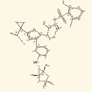 O=S1(=O)C[C@@H]2[C@H](C1)[C@@H]2Nc1nccc(-c2sc(C3(C(F)F)CC3)nc2-c2cccc(NS(=O)(=O)c3c(F)cccc3F)c2F)n1